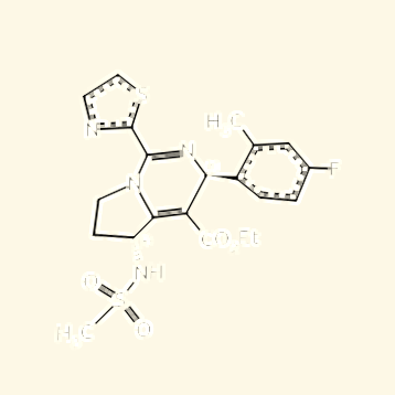 CCOC(=O)C1=C2[C@H](NS(C)(=O)=O)CCN2C(c2nccs2)=N[C@H]1c1ccc(F)cc1C